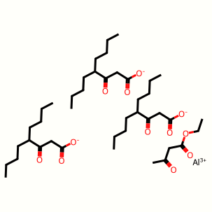 CCCCC(CCCC)C(=O)CC(=O)[O-].CCCCC(CCCC)C(=O)CC(=O)[O-].CCCCC(CCCC)C(=O)CC(=O)[O-].CCOC(=O)CC(C)=O.[Al+3]